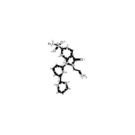 C=CCn1c(=O)c2cnc(S(C)(=O)=O)nc2n1-c1cccc(-c2ncccn2)n1